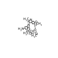 COCCOCCOc1cc2c(NCc3cc(N)cc(C(F)(F)C(C)(C)O)c3)nc(C)nc2cc1OC